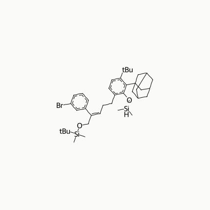 C[SiH](C)Oc1c(CCC=C(CO[Si](C)(C)C(C)(C)C)c2cccc(Br)c2)ccc(C(C)(C)C)c1C12CC3CC(CC(C3)C1)C2